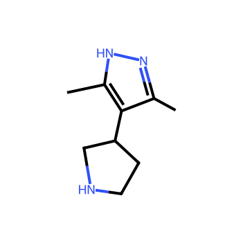 Cc1n[nH]c(C)c1C1CCNC1